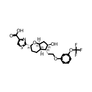 O=C(O)c1csc([C@H]2CC[C@@H]3[C@@H](CCOc4cccc(OC(F)(F)F)c4)[C@H](O)C[C@@H]3O2)n1